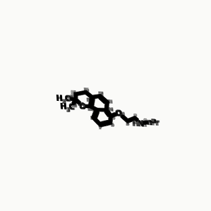 CCCNCCOc1cccc2c3c([c]cc12)CCC(C)(C)O3